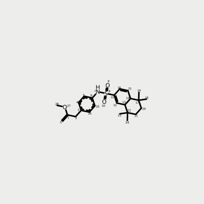 C=C(Cc1ccc(NS(=O)(=O)C2=CC3C(C=C2)C(C)(C)CCC3(C)C)cc1)OC